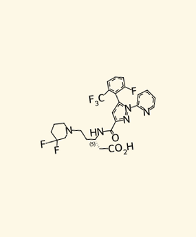 O=C(O)C[C@H](CCN1CCCC(F)(F)C1)NC(=O)c1cc(-c2c(F)cccc2C(F)(F)F)n(-c2ccccn2)n1